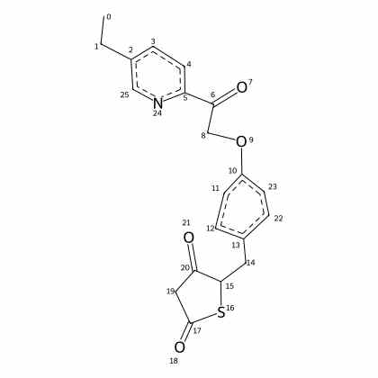 CCc1ccc(C(=O)COc2ccc(CC3SC(=O)CC3=O)cc2)nc1